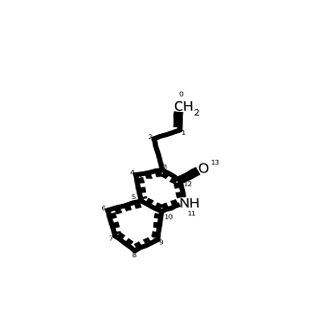 C=CCc1cc2ccccc2[nH]c1=O